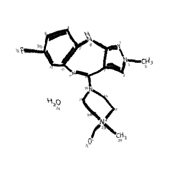 Cn1cc2c(n1)Nc1ccc(F)cc1N=C2N1CC[N+](C)([O-])CC1.O